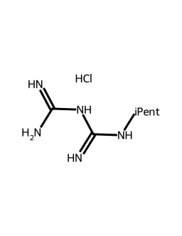 CCCC(C)NC(=N)NC(=N)N.Cl